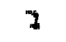 O=C(CCCCc1ccc(C(=O)O)cc1)NO